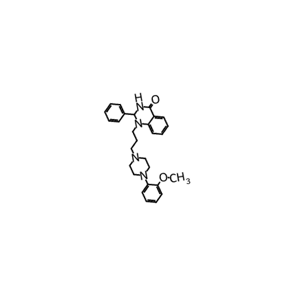 COc1ccccc1N1CCN(CCCN2c3ccccc3C(=O)NC2c2ccccc2)CC1